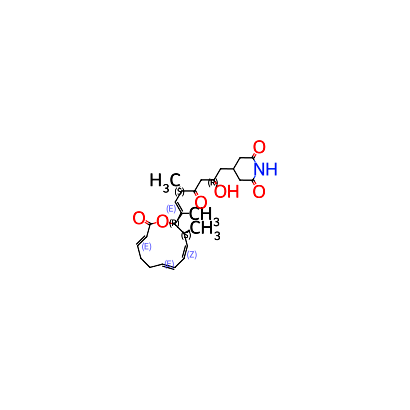 C/C(=C\[C@H](C)C(=O)C[C@H](O)CC1CC(=O)NC(=O)C1)[C@@H]1OC(=O)/C=C/CC/C=C/C=C\[C@@H]1C